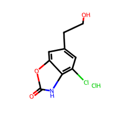 Cl.O=c1[nH]c2c(Cl)cc(CCO)cc2o1